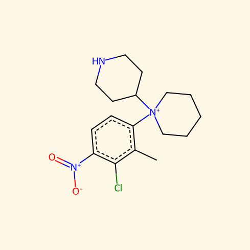 Cc1c([N+]2(C3CCNCC3)CCCCC2)ccc([N+](=O)[O-])c1Cl